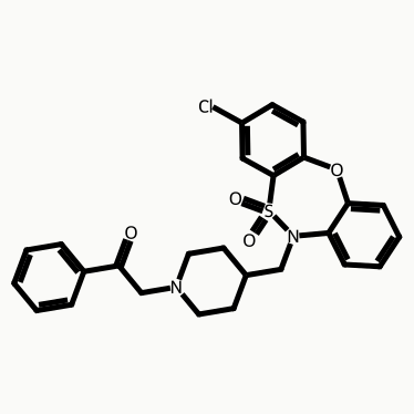 O=C(CN1CCC(CN2c3ccccc3Oc3ccc(Cl)cc3S2(=O)=O)CC1)c1ccccc1